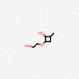 CC1CC(OCCO)C1O